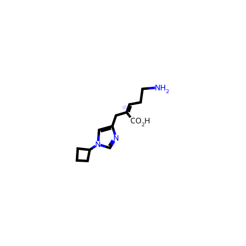 NCC/C=C(/Cc1cn(C2CCC2)cn1)C(=O)O